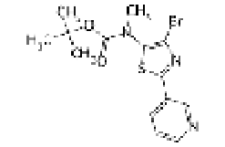 CN(C(=O)OC(C)(C)C)c1sc(-c2cccnc2)nc1Br